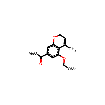 COCOc1cc(C(=O)OC)cc2c1C(C)=CCO2